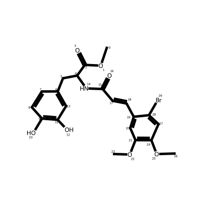 COC(=O)C(Cc1ccc(O)c(O)c1)NC(=O)C=Cc1cc(OC)c(OC)cc1Br